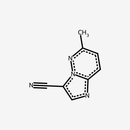 Cc1ccc2ncc(C#N)n2n1